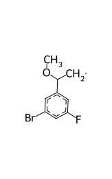 [CH2]C(OC)c1cc(F)cc(Br)c1